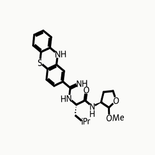 COC1OCC[C@@H]1NC(=O)[C@H](CC(C)C)NC(=N)c1ccc2c(c1)Nc1ccccc1S2